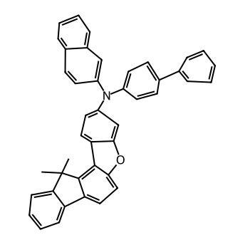 CC1(C)c2ccccc2-c2ccc3oc4cc(N(c5ccc(-c6ccccc6)cc5)c5ccc6ccccc6c5)ccc4c3c21